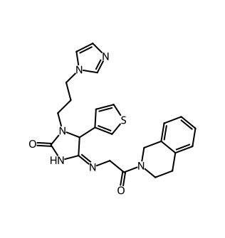 O=C(CN=C1NC(=O)N(CCCn2ccnc2)C1c1ccsc1)N1CCc2ccccc2C1